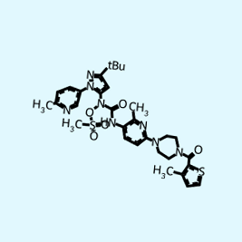 Cc1ccc(-n2nc(C(C)(C)C)cc2N(OS(C)(=O)=O)C(=O)Nc2ccc(N3CCN(C(=O)c4sccc4C)CC3)nc2C)cn1